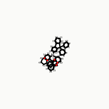 c1ccc(C2(c3ccccc3)c3ccccc3-c3ccc(N(c4ccccc4-c4cccc5cccc(C6CCCCC6)c45)c4cccc5oc6ccccc6c45)cc32)cc1